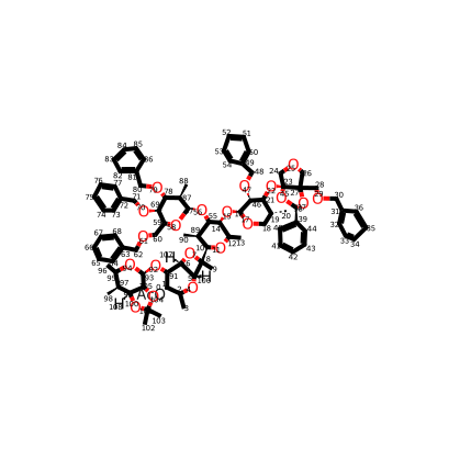 CC(=O)O[C@H]1C(C)O[C@@H]2[C@H](OC2(C)[C@@H]2OC(C)[C@H](O[C@@H]3OC[C@@H](C)C(O[C@@]45COCC4(COCc4ccccc4)O[C@@H](c4ccccc4)O5)[C@H]3OCc3ccccc3)C(O[C@@H]3OC(COCc4ccccc4)[C@@H](OCc4ccccc4)C(OCc4ccccc4)[C@H]3C)[C@@H]2C)C1O[C@@H]1OC(C)[C@H](C)[C@@H]2OC(C)(C)OC12